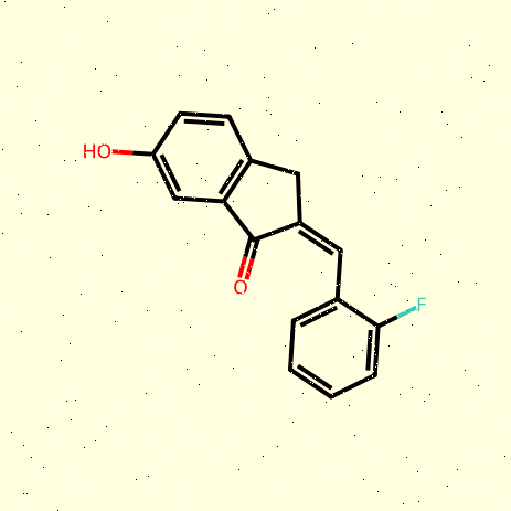 O=C1C(=Cc2ccccc2F)Cc2ccc(O)cc21